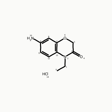 CCN1C(=O)COc2cc(N)ccc21.Cl